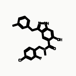 Cc1cccc(Cc2n[nH]c3cc(O)c(C(=O)N(C)Cc4ccc(Cl)cc4F)cc23)c1